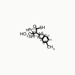 CCCC(CCC)(C(=O)O)C(C(=O)S)c1nc2cc(C)ccc2s1